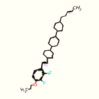 C/C=C/CCC1CCC(C2CCC(C3CCC(/C=C/c4ccc(OCCC)c(F)c4F)CC3)CC2)CC1